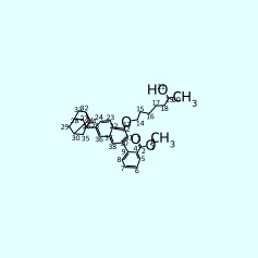 COC(=O)c1ccccc1-c1cc(OCCCCCC(C)O)c2ccc(C34CC5CC(CC(C5)C3)C4)cc2c1